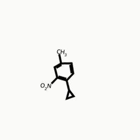 Cc1ccc(C2CC2)c([N+](=O)[O-])c1